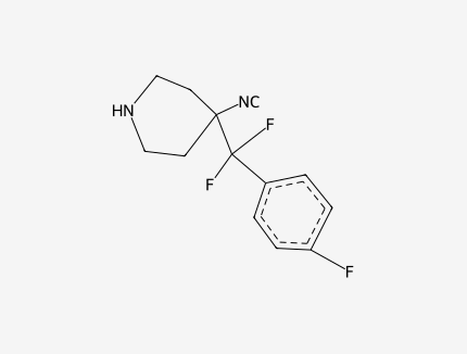 [C-]#[N+]C1(C(F)(F)c2ccc(F)cc2)CCNCC1